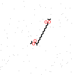 CC(C)OC(=O)CCCCCCCCCCCCCC(C)C(=O)OC(C)C